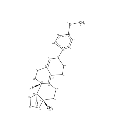 CSc1ccc(C2C=C3CC[C@@H]4C(=C3CC2)CC[C@]2(C)CCC[C@@H]42)cc1